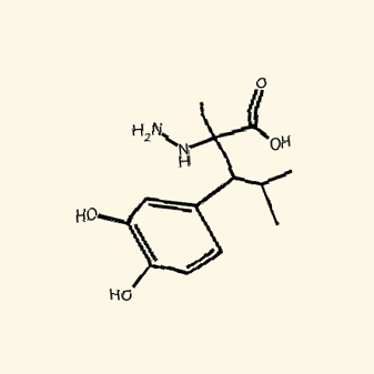 CC(C)C(c1ccc(O)c(O)c1)C(C)(NN)C(=O)O